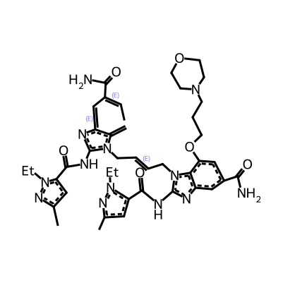 C=c1/c(=C\C(=C/C)C(N)=O)nc(NC(=O)c2cc(C)nn2CC)n1C/C=C/Cn1c(NC(=O)c2cc(C)nn2CC)nc2cc(C(N)=O)cc(OCCCN3CCOCC3)c21